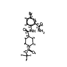 CC(C)(C)OC(=O)N1CCC(C(=O)Nc2ccc(Br)nc2C(N)=O)CC1